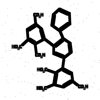 O=C(O)c1cc(C(=O)O)c(C(=O)O)c(-c2ccc(-c3ccccc3)c(-c3cc(C(=O)O)cc(C(=O)O)c3C(=O)O)c2)c1